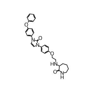 O=C1NCCCCC1NCCOc1ccc(-n2ccn(-c3ccc(Oc4ccccc4)cc3)c2=O)cc1